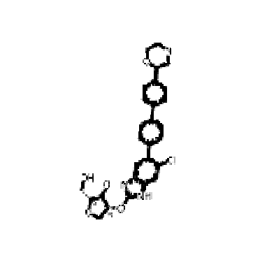 OC[C@H]1OC[C@@H](Oc2nc3cc(-c4ccc(-c5ccc(C6CNCCO6)cc5)cc4)c(Cl)cc3[nH]2)C1O